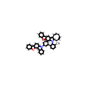 N#Cc1cccc(C2=CC(n3c4ccccc4c4c5oc6ccccc6c5ccc43)=CC(C#N)C2)c1-n1c2c(c3cc4c(cc31)oc1ccccc14)/C=C\CC#CC2